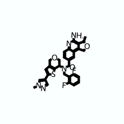 CC1OCc2c1c(N)nc1ccc(C(=O)N(Cc3c(F)cccc3F)C3COCc4cc(-c5cnn(C)c5)sc43)cc21